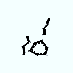 C=CC=C.C=CC=C.c1ccccc1